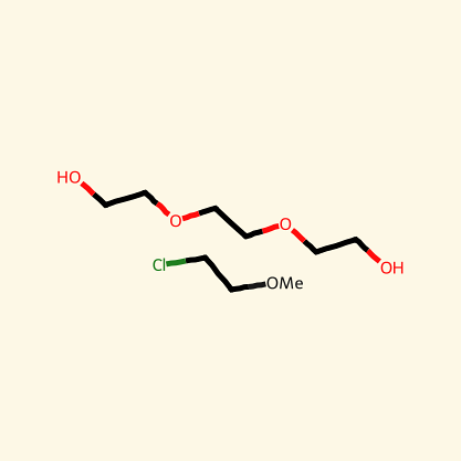 COCCCl.OCCOCCOCCO